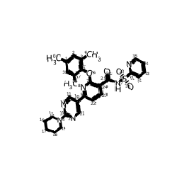 Cc1cc(C)c(Oc2nc(-c3cnc(N4CCCCC4)nc3)ccc2C(=O)NS(=O)(=O)c2ccccn2)c(C)c1